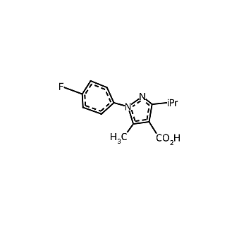 Cc1c(C(=O)O)c(C(C)C)nn1-c1ccc(F)cc1